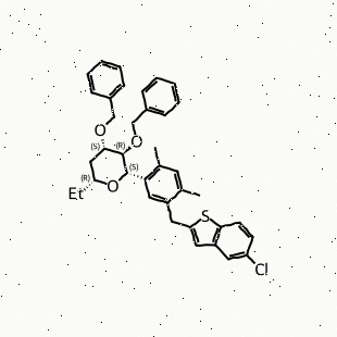 CC[C@@H]1C[C@H](OCc2ccccc2)[C@@H](OCc2ccccc2)[C@H](c2cc(Cc3cc4cc(Cl)ccc4s3)c(C)cc2C)O1